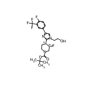 CC(C)(C)OC(=O)N1CC[C@@H](c2nc(-c3ccc(F)c(C(F)(F)F)c3)cn2CCO)[C@@H](F)C1